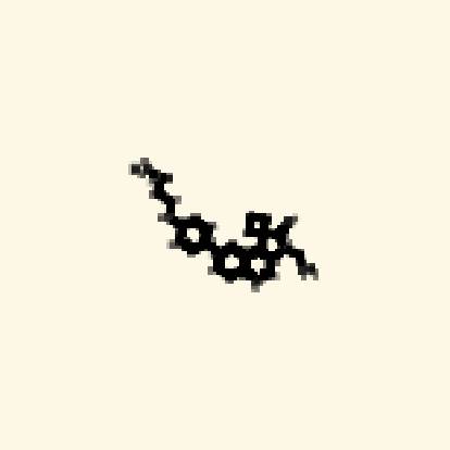 CCN1C(=O)C2(CCC2)c2c1cnc1ccc(-c3ccc(OCCNC)nc3)cc21